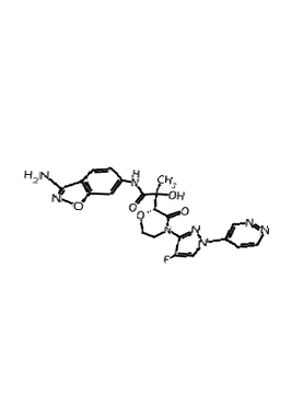 C[C@](O)(C(=O)Nc1ccc2c(N)noc2c1)[C@H]1OCCN(c2nn(-c3ccnnc3)cc2F)C1=O